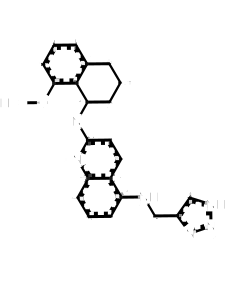 COc1cccc2c1C(Nc1ccc3c(NCc4c[nH]nn4)cccc3n1)CCC2